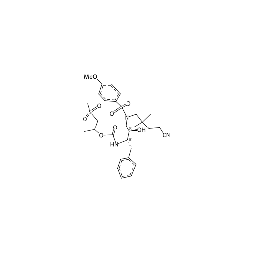 COc1ccc(S(=O)(=O)N(C[C@@H](O)[C@H](Cc2ccccc2)NC(=O)OC(C)CS(C)(=O)=O)CC(C)(C)CCC#N)cc1